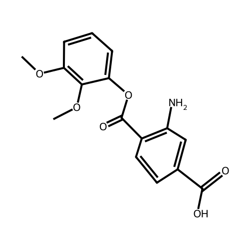 COc1cccc(OC(=O)c2ccc(C(=O)O)cc2N)c1OC